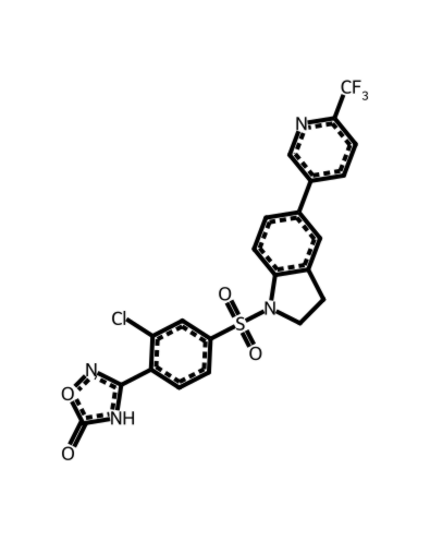 O=c1[nH]c(-c2ccc(S(=O)(=O)N3CCc4cc(-c5ccc(C(F)(F)F)nc5)ccc43)cc2Cl)no1